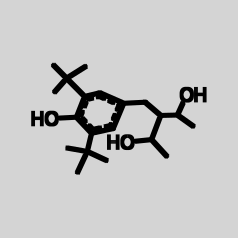 CC(O)C(Cc1cc(C(C)(C)C)c(O)c(C(C)(C)C)c1)C(C)O